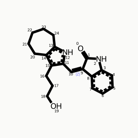 O=C1Nc2ccccc2/C1=C/c1[nH]c2c(c1CCCO)CCCCC2